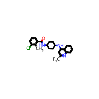 Cc1c(Cl)cccc1C(=O)NC1CCC(Nc2cc(C(F)(F)F)nc3ccccc23)CC1